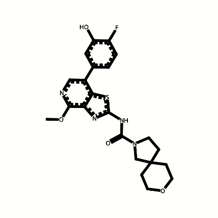 COc1ncc(-c2ccc(F)c(O)c2)c2sc(NC(=O)N3CCC4(CCOCC4)C3)nc12